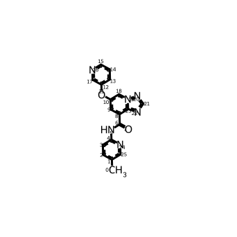 Cc1ccc(NC(=O)c2cc(Oc3cccnc3)cn3ncnc23)nc1